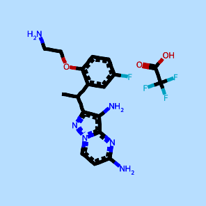 CC(c1cc(F)ccc1OCCN)c1nn2ccc(N)nc2c1N.O=C(O)C(F)(F)F